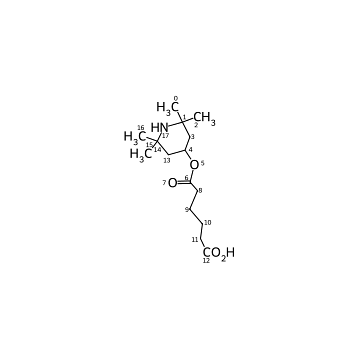 CC1(C)CC(OC(=O)CCCCC(=O)O)CC(C)(C)N1